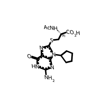 CC(=O)N[C@@H](CSc1nc2c(=O)[nH]c(N)nc2n1C1CCCC1)C(=O)O